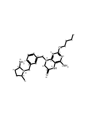 CCCCOc1nc(N)c2c(n1)N(Cc1cccc(CN3C(C)CCC3N)c1)CC(=O)N2